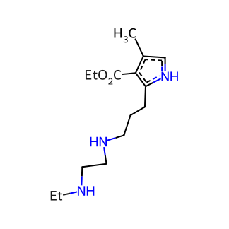 CCNCCNCCCc1[nH]cc(C)c1C(=O)OCC